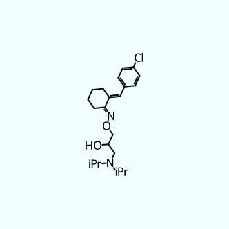 CC(C)N(CC(O)CON=C1CCCCC1=Cc1ccc(Cl)cc1)C(C)C